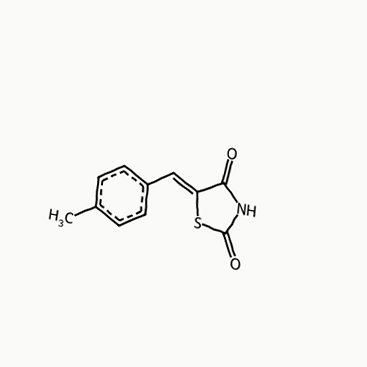 Cc1ccc(/C=C2\SC(=O)NC2=O)cc1